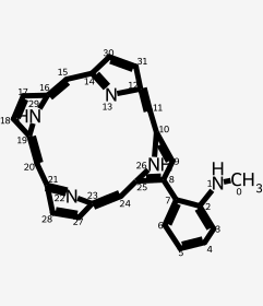 CNc1ccccc1-c1cc2cc3nc(cc4ccc(cc5nc(cc1[nH]2)C=C5)[nH]4)C=C3